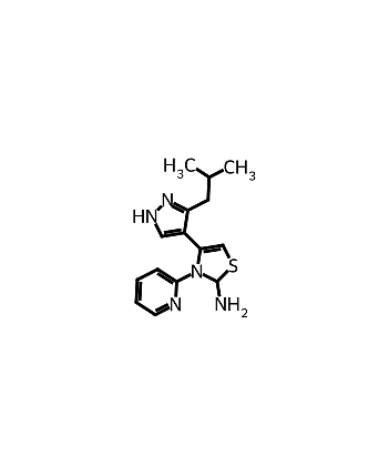 CC(C)Cc1n[nH]cc1C1=CSC(N)N1c1ccccn1